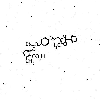 CCC(OCc1ccc(OCCc2nc(-c3ccccc3)oc2C)cc1)Oc1cccc(C)c1C(=O)O